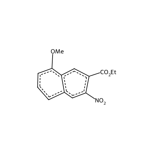 CCOC(=O)c1cc2c(OC)cccc2cc1[N+](=O)[O-]